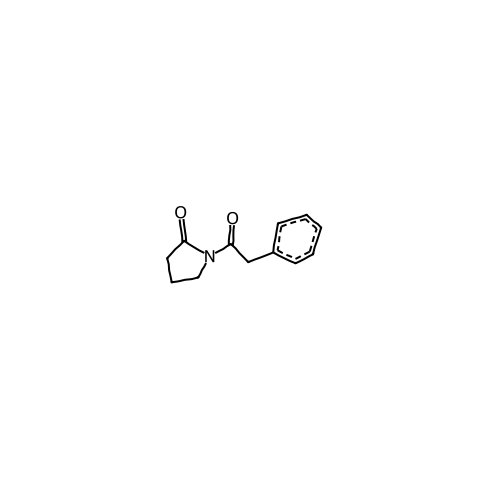 O=C1CCCN1C(=O)Cc1ccccc1